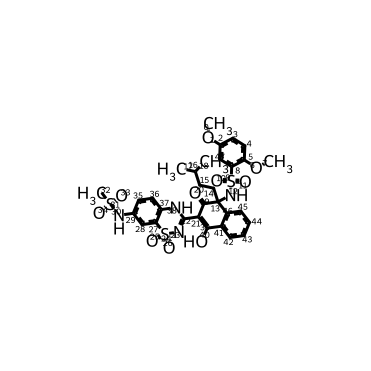 COc1ccc(OC)c(S(=O)(=O)NC2(CCC(C)C)C(=O)C(C3=NS(=O)(=O)c4cc(NS(C)(=O)=O)ccc4N3)=C(O)c3ccccc32)c1